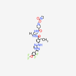 CCc1cc(Nc2nccn3c(-c4ccc(OC(F)F)c(F)c4F)cnc23)ccc1C(=O)N[C@@H](C)CNC(=O)C1CCN(COC(=O)N2CCC2)CC1